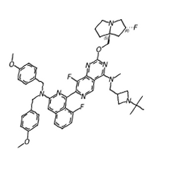 COc1ccc(CN(Cc2ccc(OC)cc2)c2cc3cccc(F)c3c(-c3ncc4c(N(C)CC5CN(C(C)(C)C)C5)nc(OC[C@@]56CCCN5C[C@H](F)C6)nc4c3F)n2)cc1